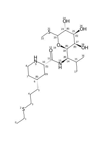 CCSCCC[C@@H]1CCN[C@H](C(=O)N[C@H](C(C)C)[C@H]2OC(SC)[C@H](O)[C@@H](O)[C@H]2O)C1